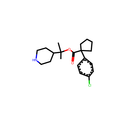 CC(C)(OC(=O)C1(c2ccc(Cl)cc2)CCCC1)C1CCNCC1